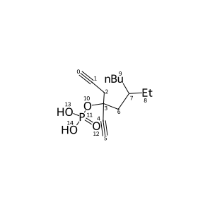 C#CCC(C#C)(CC(CC)CCCC)OP(=O)(O)O